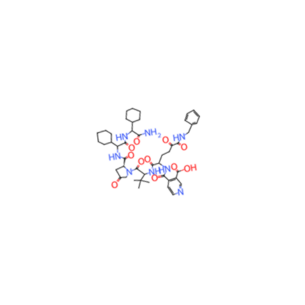 CC(C)(C)C(NC(=O)C(CCC(=O)C(=O)NCc1ccccc1)NC(=O)c1ccncc1C(=O)O)C(=O)N1CC(=O)C[C@H]1C(=O)NC(C(=O)NC(C(N)=O)C1CCCCC1)C1CCCCC1